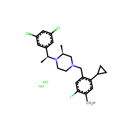 C[C@H]1CN(Cc2cc(F)c(C(=O)O)cc2C2CC2)CCN1[C@@H](C)c1cc(Cl)cc(Cl)c1.Cl.Cl